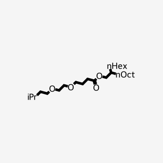 CCCCCCCCC(CCCCCC)COC(=O)CCCOCCOCCC(C)C